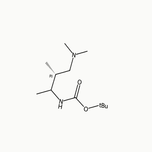 CC(NC(=O)OC(C)(C)C)[C@H](C)CN(C)C